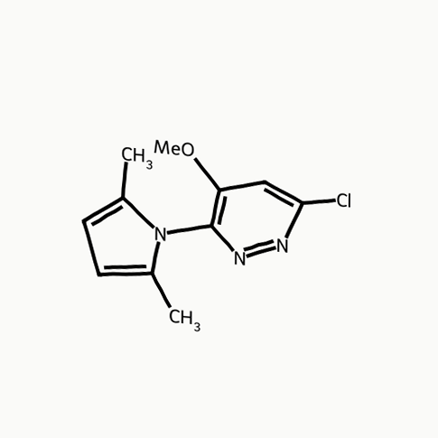 COc1cc(Cl)nnc1-n1c(C)ccc1C